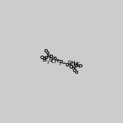 CC1(C)c2cc(/C=C/c3ccc(/C=C/c4ccc5c(c4)C(C)(C)c4cc(N(c6ccc7ccccc7c6)c6ccc7sc8ccccc8c7c6)ccc4-5)cc3)ccc2-c2ccc(N(c3ccc4ccccc4c3)c3ccc4sc5ccccc5c4c3)cc21